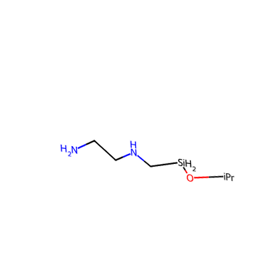 CC(C)O[SiH2]CNCCN